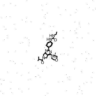 CCNC(=O)Nc1ccc(-c2nc3c(c(N4CCOC[C@@H]4C)n2)CN(C(=O)C(C)C)C3)cc1